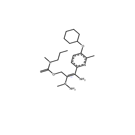 C=C(OC/C(=C(/N)c1ccc(OC2CCCCC2)c(C)n1)N(C)N)N(C)CCC